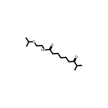 CC(C)OCCNC(=O)CCCCCC(=O)C(C)C